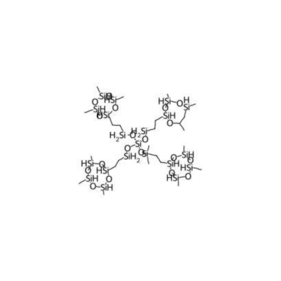 CC1C[SiH](C)O[SiH](C)O[SiH](CC[SiH2]O[Si](O[SiH2]CC[SiH]2O[SiH](C)O[SiH](C)O[SiH](C)O2)(O[SiH2]CC[SiH]2O[SiH](C)O[SiH](C)O[SiH](C)O2)O[Si](C)(C)CC[SiH]2O[SiH](C)O[SiH](C)O[SiH](C)O2)O1